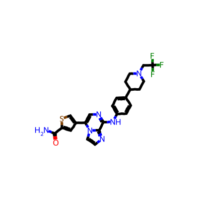 NC(=O)c1cc(-c2cnc(Nc3ccc(C4CCN(CC(F)(F)F)CC4)cc3)c3nccn23)cs1